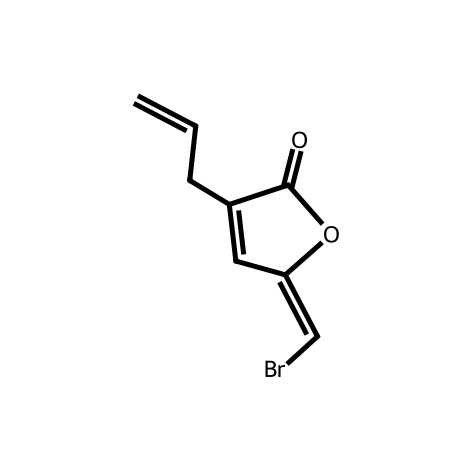 C=CCC1=CC(=CBr)OC1=O